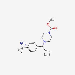 CC(C)(C)OC(=O)N1CCN(C(c2ccc(C3(N)CC3)cc2)C2CCC2)CC1